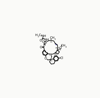 CNC(=O)N[S@@]1(=O)=NC(=O)c2ccc3c(c2)N(C[C@@H]2CC[C@H]2[C@@H](OC)/C=C/C[C@H](C)C1)C[C@@]1(CCCc2cc(Cl)ccc21)CO3